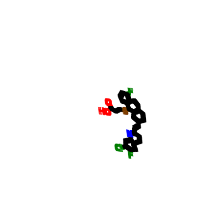 O=C(O)CCSC1c2cc(C=Cc3ccc4cc(F)c(Cl)cc4n3)ccc2C=Cc2c(F)cccc21